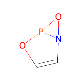 c1cn2op2o1